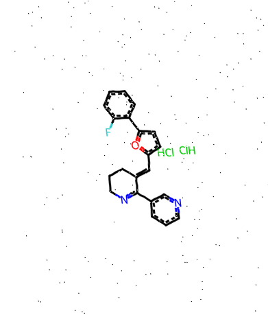 Cl.Cl.Fc1ccccc1-c1ccc(C=C2CCCN=C2c2cccnc2)o1